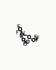 O=[N+]([O-])c1ccc(Cn2cc(-c3ccc(F)cc3F)nc2/C=C/c2ccc(-c3cccc(C(F)(F)F)c3)cc2)cc1